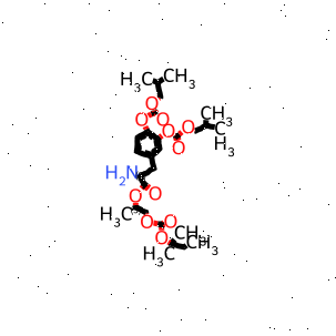 CCC(C)(C)OC(=O)OC[C@H](C)OC(=O)[C@@H](N)Cc1ccc(OC(=O)OCC(C)C)c(OC(=O)OCC(C)C)c1